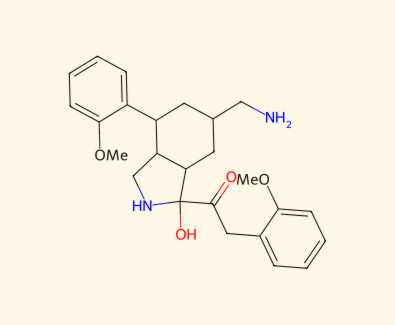 COc1ccccc1CC(=O)C1(O)NCC2C(c3ccccc3OC)CC(CN)CC21